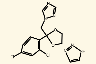 Clc1ccc(C2(Cn3cncn3)OCCO2)c(Cl)c1.c1c[nH]nn1